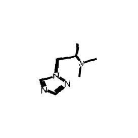 CC(Cn1cncn1)N(C)C